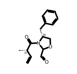 C=C[C@H](C)C(=O)N1C(C=O)OC[C@H]1Cc1ccccc1